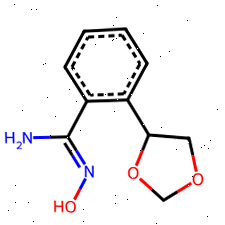 NC(=NO)c1ccccc1C1COCO1